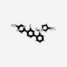 Nc1cnc(-c2ccc(-c3ccccc3[S+]([O-])N3CCC(N)C3)cc2F)cn1